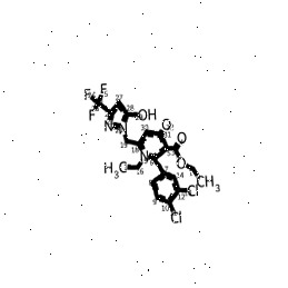 CCOC(=O)c1c(-c2ccc(Cl)c(Cl)c2)n(CC)c(Cn2nc(C(F)(F)F)cc2O)cc1=O